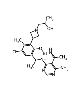 CCOc1c(C(C)Nc2ncnc(N)c2C(C)=N)cc(Cl)c(C)c1C1CN(C[C@H](C)O)C1